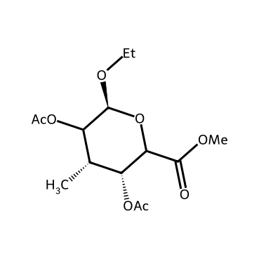 CCO[C@H]1OC(C(=O)OC)[C@H](OC(C)=O)[C@H](C)C1OC(C)=O